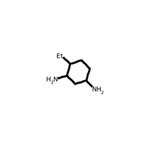 CCC1CCC(N)CC1N